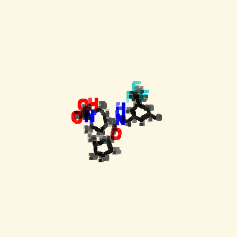 Cc1cc(CNC(=O)[C@H]2CCN(C(=O)O)C[C@H]2c2ccccc2)cc(C(F)(F)F)c1